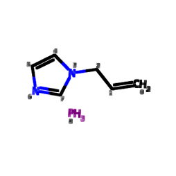 C=CCn1ccnc1.P